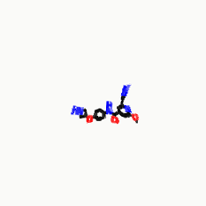 COc1cc(C(=O)Nc2ccc(OC3CNC3)cc2)cc(C#N)n1